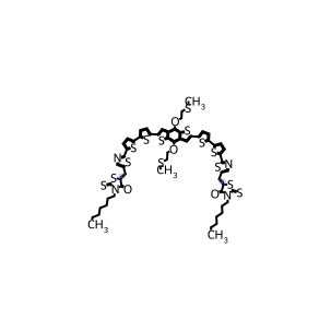 CCCCCCCN1C(=O)/C(=C/c2cnc(-c3ccc(-c4ccc(-c5cc6c(OCCSC)c7sc(-c8ccc(-c9ccc(-c%10ncc(/C=C%11\SC(=S)N(CCCCCCC)C%11=O)s%10)s9)s8)cc7c(OCCSC)c6s5)s4)s3)s2)SC1=S